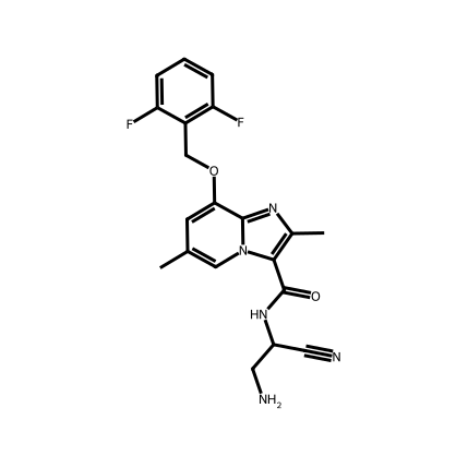 Cc1cc(OCc2c(F)cccc2F)c2nc(C)c(C(=O)NC(C#N)CN)n2c1